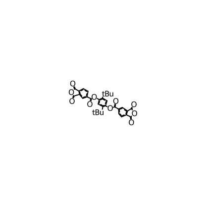 CC(C)(C)c1cc(OC(=O)c2ccc3c(c2)C(=O)OC3=O)c(C(C)(C)C)cc1OC(=O)c1ccc2c(c1)C(=O)OC2=O